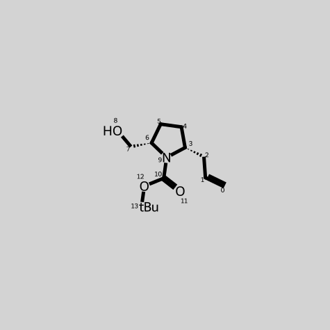 C=CC[C@H]1CC[C@@H](CO)N1C(=O)OC(C)(C)C